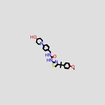 COc1ccc(C(C)(C)c2csc(NC(=O)NCc3ccc(N4CCC(O)CC4)cc3)n2)cc1